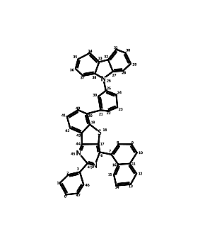 c1ccc(-c2nc(-c3cccc4ccccc34)c3sc4c(-c5cccc(-n6c7ccccc7c7ccccc76)c5)cccc4c3n2)cc1